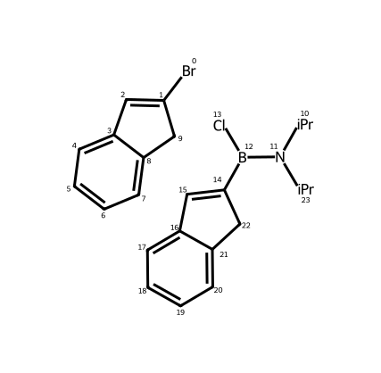 BrC1=Cc2ccccc2C1.CC(C)N(B(Cl)C1=Cc2ccccc2C1)C(C)C